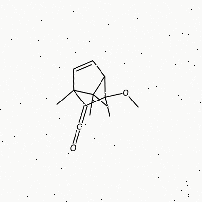 COC1(C)C(=C=O)C2(C)C=CC1C2(C)C